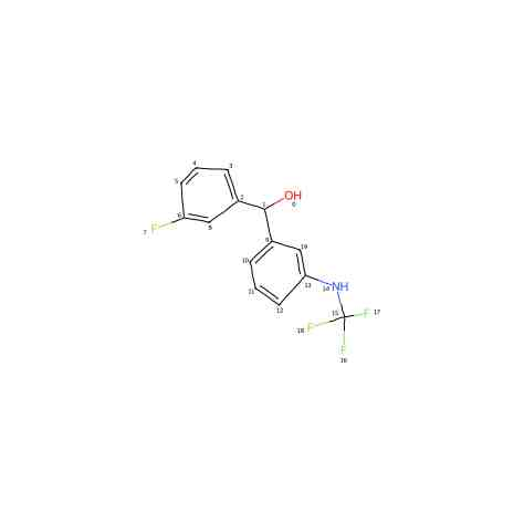 OC(c1cccc(F)c1)c1cccc(NC(F)(F)F)c1